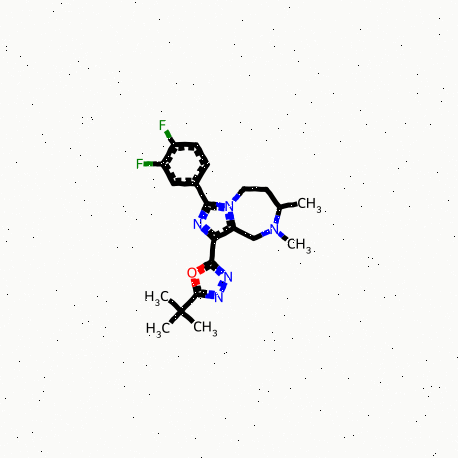 CC1CCn2c(-c3ccc(F)c(F)c3)nc(-c3nnc(C(C)(C)C)o3)c2CN1C